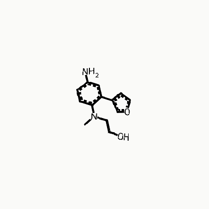 CN(CCO)c1ccc(N)cc1-c1ccoc1